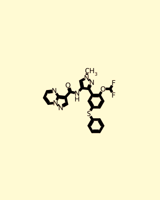 Cn1cc(NC(=O)c2cnn3cccnc23)c(-c2cc(Sc3ccccc3)ccc2OC(F)F)n1